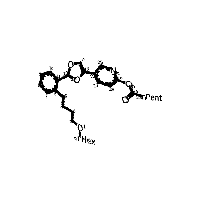 CCCCCCOCCCCc1ccccc1C1OC=C(c2ccc(OC(=O)CCCCC)nc2)O1